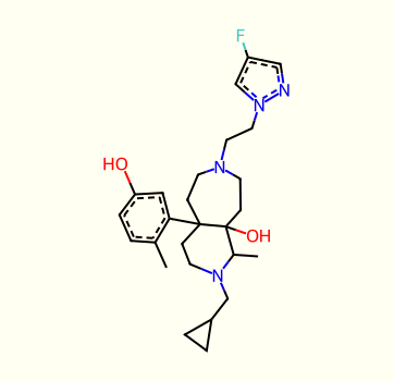 Cc1ccc(O)cc1C12CCN(CCn3cc(F)cn3)CCC1(O)C(C)N(CC1CC1)CC2